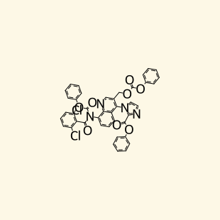 O=C(OCc1cnc2c(N(C(=O)Oc3ccccc3)C(=O)c3c(Cl)cccc3Cl)cccc2c1-n1ccnc1C(=O)Oc1ccccc1)Oc1ccccc1